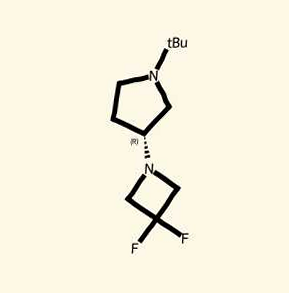 CC(C)(C)N1CC[C@@H](N2CC(F)(F)C2)C1